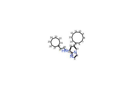 c1cn2cc(C3CCCCCCCCC3)cc(NCCC3CCCCCCC3)c2n1